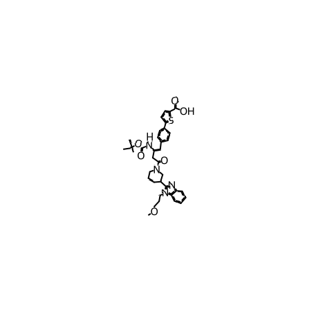 COCCCn1c(C2CCCN(C(=O)CC(Cc3ccc(-c4ccc(C(=O)O)s4)cc3)NC(=O)OC(C)(C)C)C2)nc2ccccc21